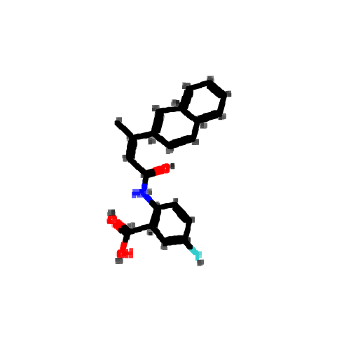 C/C(=C/C(=O)Nc1ccc(F)cc1C(=O)O)c1ccc2ccccc2c1